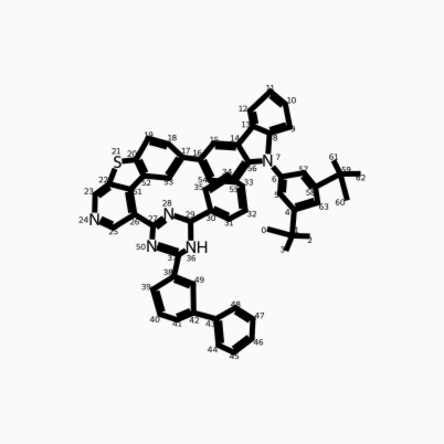 CC(C)(C)c1cc(-n2c3ccccc3c3cc(-c4ccc5sc6cncc(C7=NC(c8ccccc8)NC(c8cccc(-c9ccccc9)c8)=N7)c6c5c4)ccc32)cc(C(C)(C)C)c1